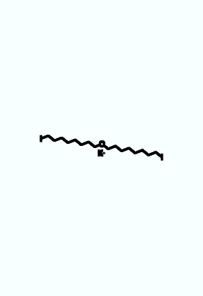 ICCCCCCCCOCCCCCCCCI.[K]